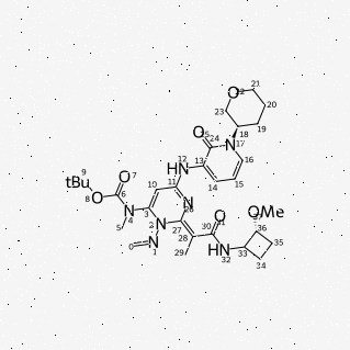 C=NN1C(N(C)C(=O)OC(C)(C)C)=CC(Nc2cccn([C@@H]3CCCOC3)c2=O)=N/C1=C(/C)C(=O)NC1CC[C@H]1OC